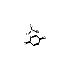 CCN(CC)CC.O=C1C=CC(=O)N=C1